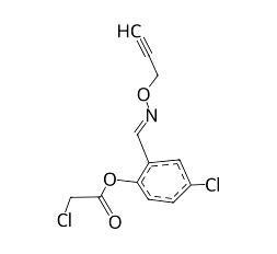 C#CCON=Cc1cc(Cl)ccc1OC(=O)CCl